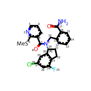 CSc1ncccc1C(=O)N(Cc1ccccc1C(N)=O)[C@@H]1CCc2c(F)cc(Cl)cc21